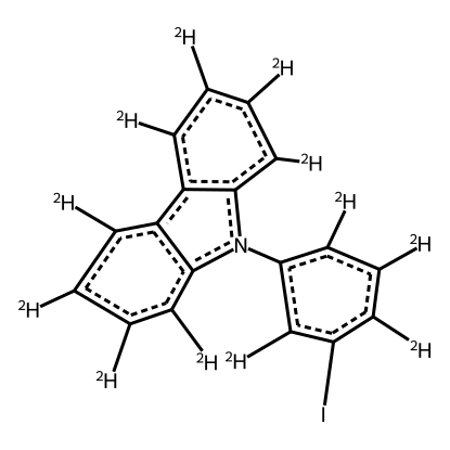 [2H]c1c([2H])c(I)c([2H])c(-n2c3c([2H])c([2H])c([2H])c([2H])c3c3c([2H])c([2H])c([2H])c([2H])c32)c1[2H]